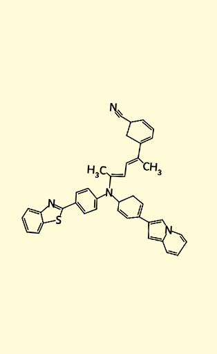 C/C(=C\C=C(/C)N(c1ccc(-c2nc3ccccc3s2)cc1)C1C=CC(c2cc3ccccn3c2)=CC1)C1=CC=CC(C#N)C1